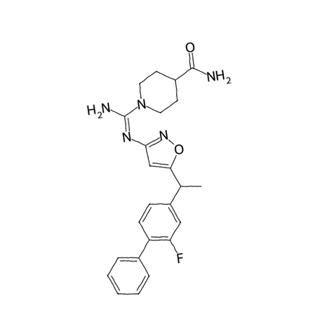 CC(c1ccc(-c2ccccc2)c(F)c1)c1cc(/N=C(/N)N2CCC(C(N)=O)CC2)no1